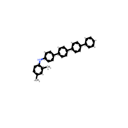 Cc1ccc(Nc2ccc(-c3ccc(-c4ccc(-c5ccccc5)cc4)cc3)cc2)c(C)c1